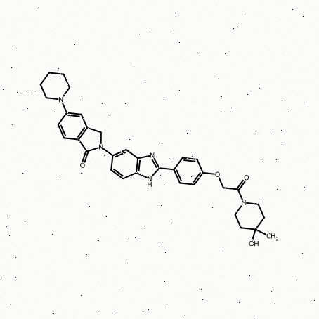 CC1(O)CCN(C(=O)COc2ccc(-c3nc4cc(N5Cc6cc(N7CCCCC7)ccc6C5=O)ccc4[nH]3)cc2)CC1